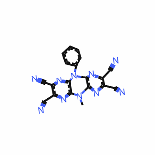 CN1c2nc(C#N)c(C#N)nc2N(c2ccccc2)c2nc(C#N)c(C#N)nc21